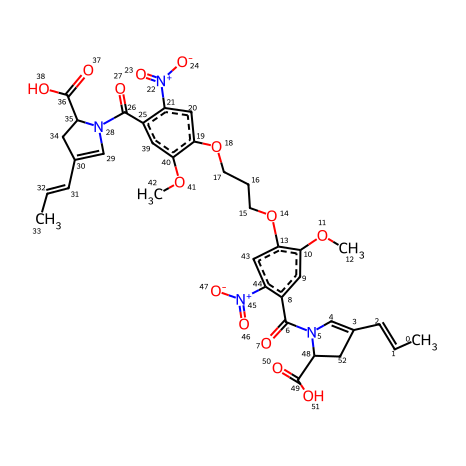 C/C=C/C1=CN(C(=O)c2cc(OC)c(OCCCOc3cc([N+](=O)[O-])c(C(=O)N4C=C(/C=C/C)CC4C(=O)O)cc3OC)cc2[N+](=O)[O-])C(C(=O)O)C1